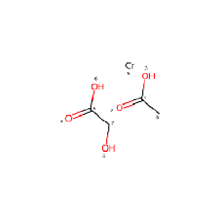 CC(=O)O.O=C(O)CO.[Cr]